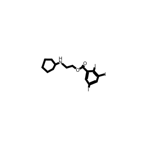 O=C(OCCNC1CCCCC1)c1cc(I)cc(I)c1I